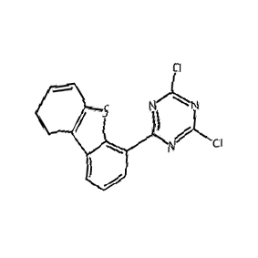 Clc1nc(Cl)nc(-c2cccc3c4c(sc23)C=CCC4)n1